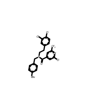 CC(C)(C)c1ccc(CN(CCc2ccc(Cl)c(Cl)c2)C(=O)c2cc(Cl)nc(C(F)(F)F)c2)cc1